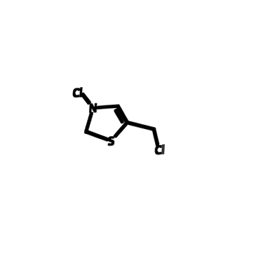 ClCC1=CN(Cl)CS1